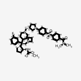 COC(=O)N[C@H]1CCC[C@@H]1[C@](CN1CCC1)(c1cccc(F)c1)C1CCN(C[C@@H]2CCN(c3ccc(S(=O)(=O)c4ccc(C(=O)N(C)C)cc4)cc3)C2)CC1